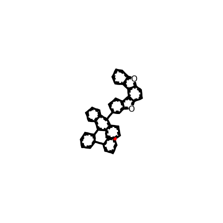 c1ccc(-c2ccccc2-c2c3ccccc3c(-c3ccc4c(c3)oc3ccc5oc6ccccc6c5c34)c3ccccc23)cc1